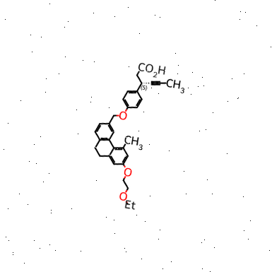 CC#C[C@@H](CC(=O)O)c1ccc(OCc2ccc3c(c2)-c2c(C)cc(OCCOCC)cc2CC3)cc1